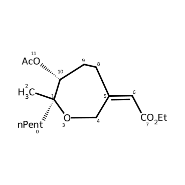 CCCCC[C@@]1(C)OCC(=CC(=O)OCC)CC[C@H]1OC(C)=O